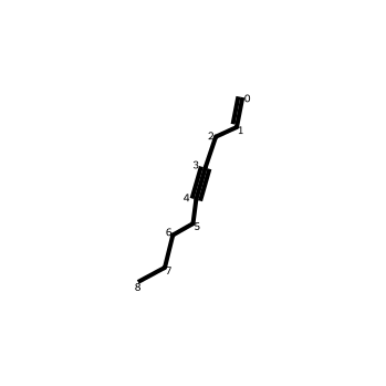 C=CCC#CCCCC